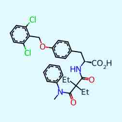 CCC(CC)(C(=O)N[C@@H](Cc1ccc(OCc2c(Cl)cccc2Cl)cc1)C(=O)O)C(=O)N(C)c1ccccc1